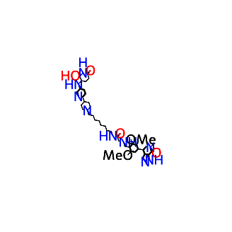 COc1cc(-c2cn(C)c(=O)c3[nH]ncc23)cc(OC)c1CNCC(=O)NCCCCCCCCN1CCC(c2ccc(NC3CCC(=O)NC3O)cn2)CC1